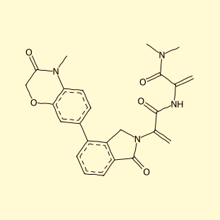 C=C(NC(=O)C(=C)N1Cc2c(cccc2-c2ccc3c(c2)OCC(=O)N3C)C1=O)C(=O)N(C)C